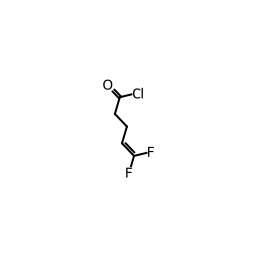 O=C(Cl)CCC=C(F)F